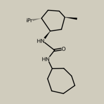 CC(C)[C@@H]1CC[C@@H](C)C[C@H]1NC(=O)NC1CCCCCC1